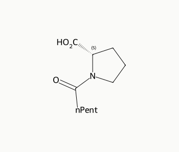 CCCCCC(=O)N1CCC[C@H]1C(=O)O